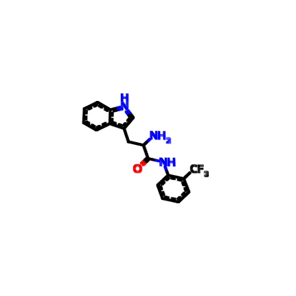 NC(Cc1c[nH]c2ccccc12)C(=O)Nc1ccccc1C(F)(F)F